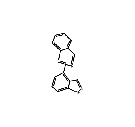 [c]1n[nH]c2cccc(-c3ncc4ccccc4n3)c12